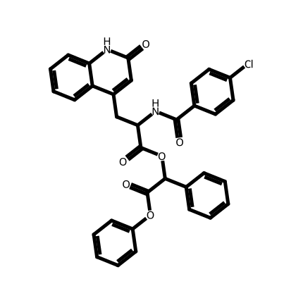 O=C(NC(Cc1cc(=O)[nH]c2ccccc12)C(=O)OC(C(=O)Oc1ccccc1)c1ccccc1)c1ccc(Cl)cc1